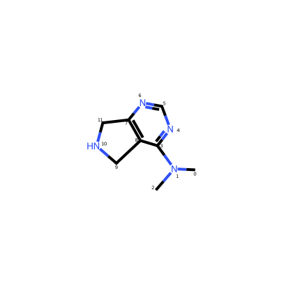 CN(C)c1ncnc2c1CNC2